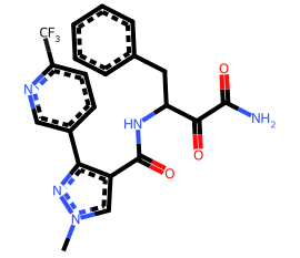 Cn1cc(C(=O)NC(Cc2ccccc2)C(=O)C(N)=O)c(-c2ccc(C(F)(F)F)nc2)n1